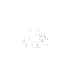 CCO[C@@H]1[C@@H](OC(=O)C(C)Cl)N(c2cc(C(F)(F)F)ccn2)C(=O)N1C